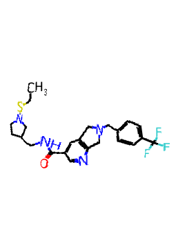 CCSN1CCC(CNC(=O)c2cnc3c(c2)CN(Cc2ccc(C(F)(F)F)cc2)C3)C1